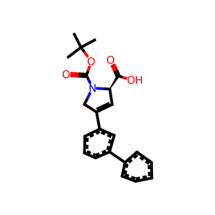 CC(C)(C)OC(=O)N1CC(c2cccc(-c3ccccc3)c2)=C[C@@H]1C(=O)O